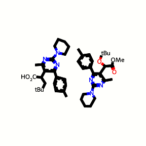 COC(=O)C(OC(C)(C)C)c1c(C)nc(N2CCCCC2)nc1-c1ccc(C)cc1.Cc1ccc(-c2nc(N3CCCCC3)nc(C)c2C(CC(C)(C)C)C(=O)O)cc1